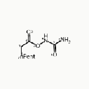 CCCCCCC(=O)ONC(N)=O